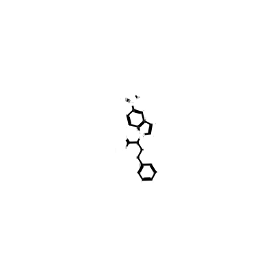 O=C(O)C(CCc1ccccc1)n1ccc2cc([N+](=O)[O-])ccc21